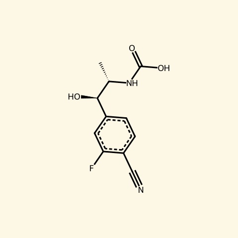 C[C@H](NC(=O)O)[C@H](O)c1ccc(C#N)c(F)c1